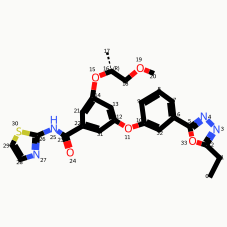 CCc1nnc(-c2cccc(Oc3cc(O[C@H](C)COC)cc(C(=O)Nc4nccs4)c3)c2)o1